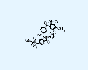 COc1cc(C)c(Oc2cnc(NC(=O)c3ccc(CNC(C)C(C)(C)C)cc3)s2)cc1C(=O)N1CCN(C(C)=O)CC1